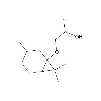 [CH2]C(O)COC12CC(C)CCC1C2(C)C